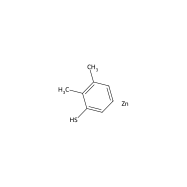 Cc1cccc(S)c1C.[Zn]